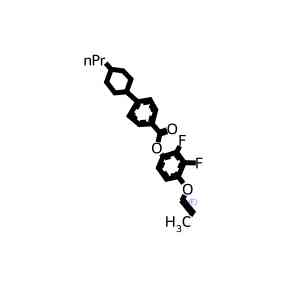 C/C=C/Oc1ccc(OC(=O)c2ccc(C3CCC(CCC)CC3)cc2)c(F)c1F